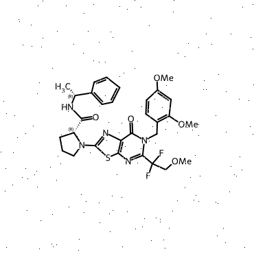 COCC(F)(F)c1nc2sc(N3CCC[C@@H]3C(=O)N[C@H](C)c3ccccc3)nc2c(=O)n1Cc1ccc(OC)cc1OC